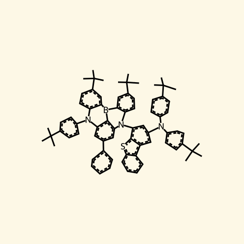 CC(C)(C)c1ccc(N(c2ccc(C(C)(C)C)cc2)c2cc(N3c4ccc(C(C)(C)C)cc4B4c5cc(C(C)(C)C)ccc5N(c5ccc(C(C)(C)C)cc5)c5cc(-c6ccccc6)cc3c54)c3sc4ccccc4c3c2)cc1